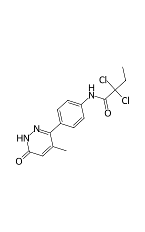 CCC(Cl)(Cl)C(=O)Nc1ccc(-c2n[nH]c(=O)cc2C)cc1